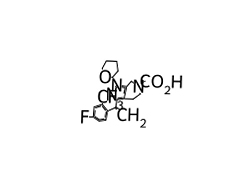 C=C(c1ccc(F)cc1C(F)(F)F)c1nn(C2CCCCO2)c2c1CCN(C(=O)O)C2